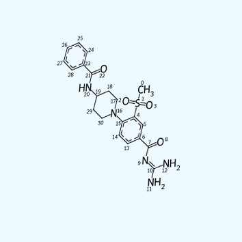 CS(=O)(=O)c1cc(C(=O)N=C(N)N)ccc1N1CCC(NC(=O)c2ccccc2)CC1